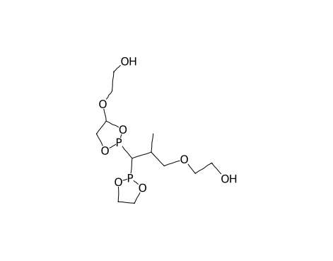 CC(COCCO)C(P1OCCO1)P1OCC(OCCO)O1